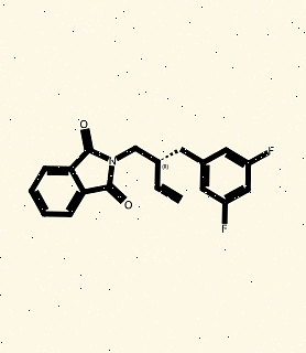 C=C[C@@H](Cc1cc(F)cc(F)c1)CN1C(=O)c2ccccc2C1=O